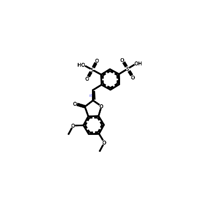 COc1cc(OC)c2c(c1)O/C(=C\c1ccc(S(=O)(=O)O)cc1S(=O)(=O)O)C2=O